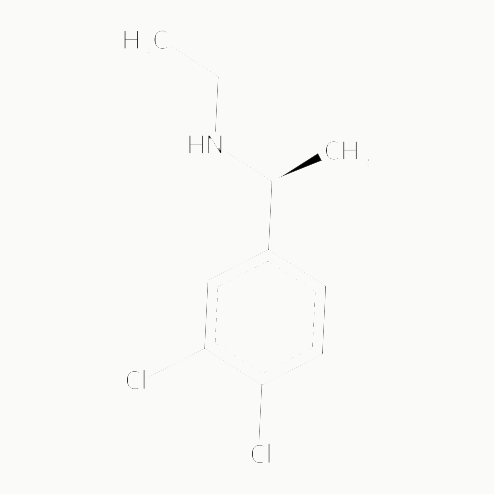 CCN[C@@H](C)c1ccc(Cl)c(Cl)c1